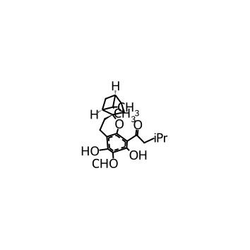 CC(C)CC(=O)c1c(O)c(C=O)c(O)c2c1O[C@@]1(CC2)CC[C@@H]2C[C@H]1C2(C)C